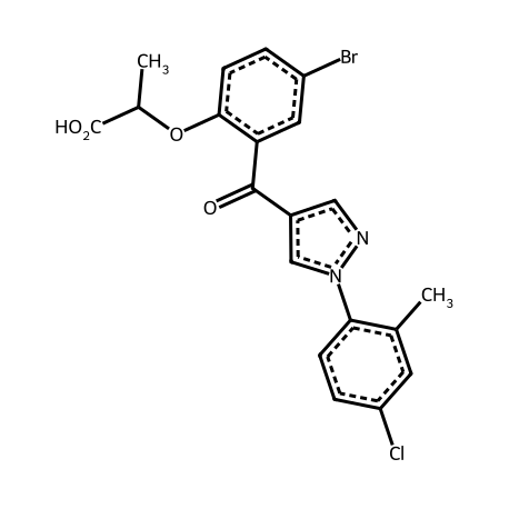 Cc1cc(Cl)ccc1-n1cc(C(=O)c2cc(Br)ccc2OC(C)C(=O)O)cn1